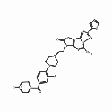 Nc1nc2c(sc(=O)n2CCN2CCN(c3ccc(C(=O)N4CC[S+]([O-])CC4)cc3F)CC2)c2nc(-c3ccco3)nn12